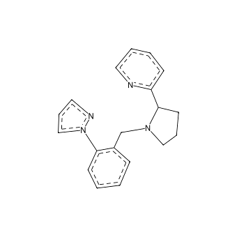 c1ccc(C2CCCN2Cc2ccccc2-n2cccn2)nc1